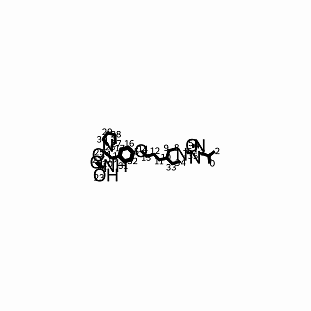 CC(C)c1noc(N2CCC(CCCOc3ccc(C(NC(=O)O)C(=O)N4CCCC4)cc3)CC2)n1